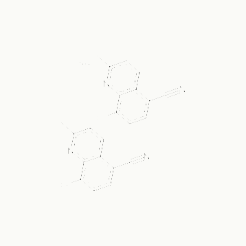 Cc1ccc2c(C#N)ccc([O-])c2n1.Cc1ccc2c(C#N)ccc([O-])c2n1.[Be+2]